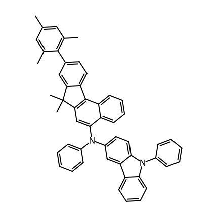 Cc1cc(C)c(-c2ccc3c(c2)C(C)(C)c2cc(N(c4ccccc4)c4ccc5c(c4)c4ccccc4n5-c4ccccc4)c4ccccc4c2-3)c(C)c1